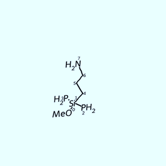 CO[Si](P)(P)CCCN